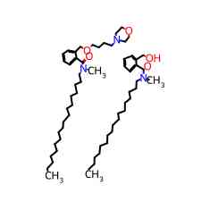 CCCCCCCCCCCCCCCCCCN(C)C(=O)c1ccccc1CO.CCCCCCCCCCCCCCCCCCN(C)C(=O)c1ccccc1COCCCCN1CCOCC1